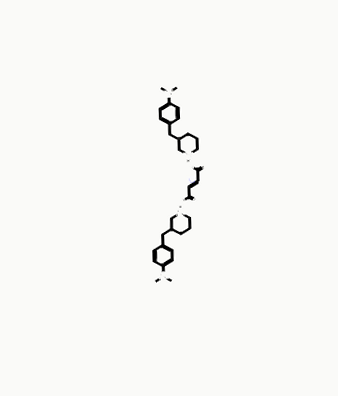 CN(C)c1ccc(CC2CCCN(OC(=O)/C=C/C(=O)ON3CCCC(Cc4ccc(N(C)C)cc4)C3)C2)cc1